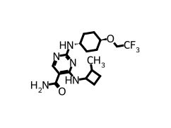 CC1CCC1Nc1nc(N[C@H]2CC[C@H](OCC(F)(F)F)CC2)ncc1C(N)=O